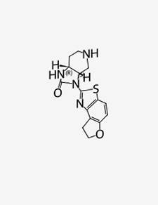 O=C1N[C@@H]2CCNC[C@@H]2N1c1nc2c3c(ccc2s1)OCC3